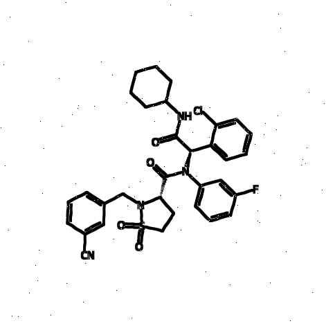 N#Cc1cccc(CN2[C@H](C(=O)N(c3cccc(F)c3)[C@@H](C(=O)NC3CCCCC3)c3ccccc3Cl)CCS2(=O)=O)c1